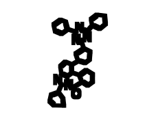 O=c1c2ccccc2c2c(-c3cccc(-c4nc(-c5ccccc5)nc(-c5ccccc5)n4)c3)ccc3nc(-c4ccccc4)n1c32